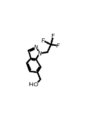 OCc1ccc2cnn(CC(F)(F)F)c2c1